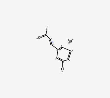 O=C([O-])/C=C/c1cccc(Cl)c1.[Ag+]